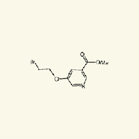 COC(=O)c1cncc(OCCBr)c1